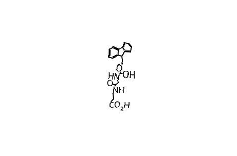 O=C(O)CCCNC(=O)CNC(O)OCC1c2ccccc2-c2ccccc21